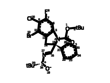 CC(C)(C)OC(=O)N1c2cc(F)c(Cl)c(Br)c2C[C@@]1(/C=N/[S@+]([O-])C(C)(C)C)c1ccccc1